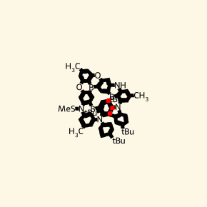 CSN1c2cc3c(cc2B2c4cc(C(C)(C)C)ccc4N(c4ccc(C(C)(C)C)cc4)c4cc(C)cc1c42)B1c2cc4c(cc2Oc2cc(C)cc(c21)O3)Nc1cc(C)cc2c1B4c1cc(C(C)(C)C)cc3c4cc(C(C)(C)C)ccc4n-2c13